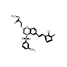 COC(=O)CC[C@H]1CN(S(=O)(=O)c2cccc(C)c2)c2cc(/C=C/c3cccc(F)c3Cl)ccc2O1